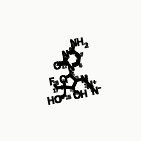 [N-]=[N+]=NC1[C@H](n2ccc(N)nc2=O)O[C@@](CO)(CF)[C@H]1O